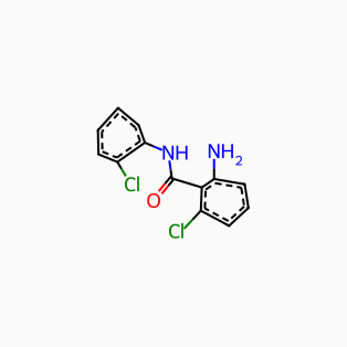 Nc1cccc(Cl)c1C(=O)Nc1ccccc1Cl